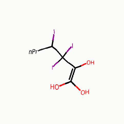 CCCC(I)C(I)(I)C(O)=C(O)O